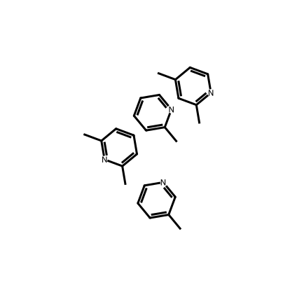 Cc1cccc(C)n1.Cc1ccccn1.Cc1cccnc1.Cc1ccnc(C)c1